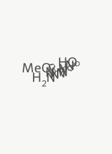 COc1cccc2c(-c3cn(Cc4cccc(C5(O)CCCC5)n4)nn3)nc(N)nc12